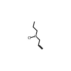 C=CCN(Cl)CCC